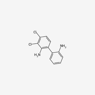 Nc1ccccc1-c1ccc(Cl)c(Cl)c1N